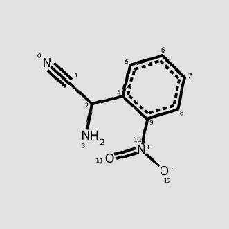 N#CC(N)c1ccccc1[N+](=O)[O-]